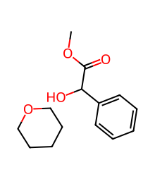 C1CCOCC1.COC(=O)C(O)c1ccccc1